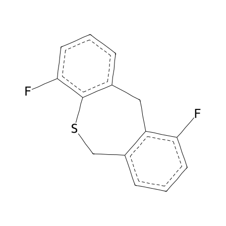 Fc1cccc2c1Cc1cccc(F)c1SC2